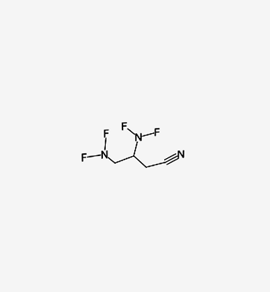 N#CCC(CN(F)F)N(F)F